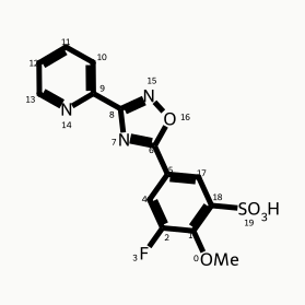 COc1c(F)cc(-c2nc(-c3ccccn3)no2)cc1S(=O)(=O)O